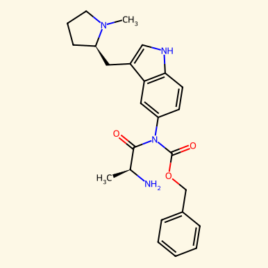 C[C@H](N)C(=O)N(C(=O)OCc1ccccc1)c1ccc2[nH]cc(C[C@H]3CCCN3C)c2c1